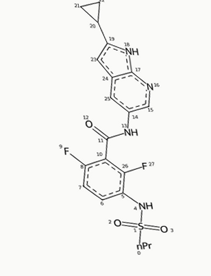 CCCS(=O)(=O)Nc1ccc(F)c(C(=O)Nc2cnc3[nH]c(C4CC4)cc3c2)c1F